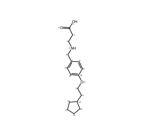 O=C(O)CCNCc1ccc(OCCC2CCCC2)cc1